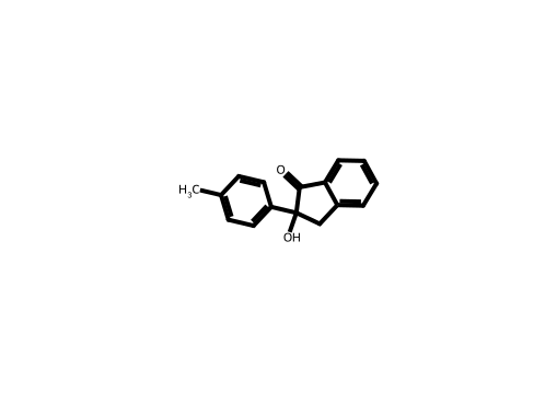 Cc1ccc(C2(O)Cc3ccccc3C2=O)cc1